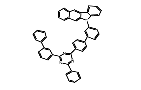 c1ccc(-c2cccc(-c3nc(-c4ccccc4)nc(-c4ccc(-c5cccc(-n6c7ccccc7c7cc8ccccc8cc76)c5)cc4)n3)c2)cc1